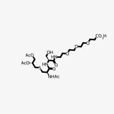 CC(=O)N[C@@H](CSC[C@@H](COC(C)=O)OC(C)=O)C(=O)N[C@@H](CO)C(=O)NCCOCCOCCOCCC(=O)O